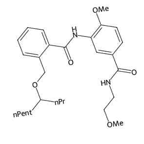 CCCCCC(CCC)OCc1ccccc1C(=O)Nc1cc(C(=O)NCCOC)ccc1OC